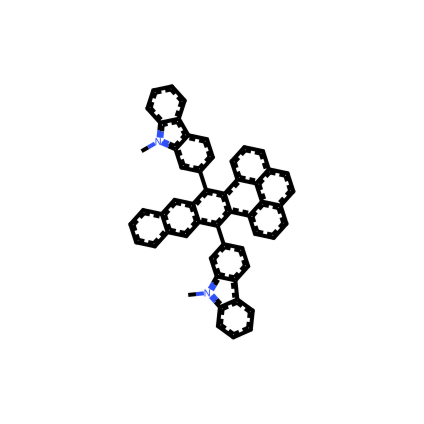 Cn1c2ccccc2c2ccc(-c3c4cc5ccccc5cc4c(-c4ccc5c6ccccc6n(C)c5c4)c4c5cccc6ccc7cccc(c34)c7c65)cc21